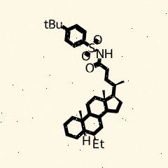 CC[C@H]1CC2C3CC[C@H]([C@H](C)CCC(=O)NS(=O)(=O)c4ccc(C(C)(C)C)cc4)[C@@]3(C)CCC2[C@@]2(C)CCCC[C@@H]12